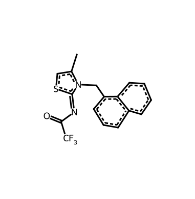 Cc1csc(=NC(=O)C(F)(F)F)n1Cc1cccc2ccccc12